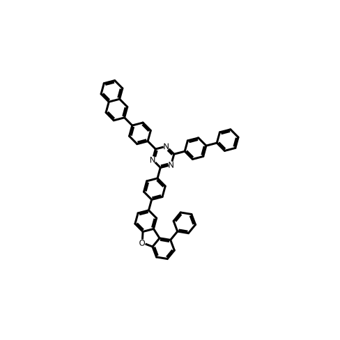 c1ccc(-c2ccc(-c3nc(-c4ccc(-c5ccc6ccccc6c5)cc4)nc(-c4ccc(-c5ccc6oc7cccc(-c8ccccc8)c7c6c5)cc4)n3)cc2)cc1